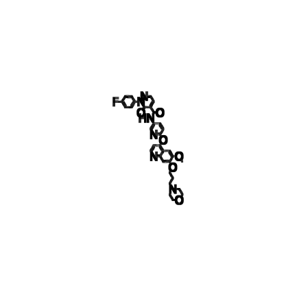 COc1cc2c(Oc3ccc(NC(=O)c4ccnn(-c5ccc(F)cc5)c4=O)cn3)ccnc2cc1OCCCN1CCOCC1